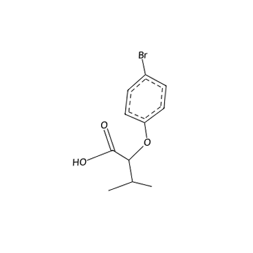 CC(C)C(Oc1ccc(Br)cc1)C(=O)O